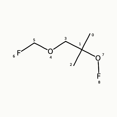 CC(C)(COCF)OF